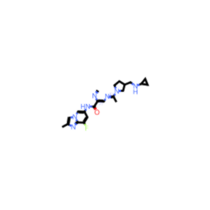 C=N/C(=C\N=C(/C)N1CCC(CNC2CC2)C1)C(=O)Nc1cc(F)c2nc(C)cn2c1